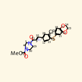 COC(=O)N1CCN(C(=O)/C=C/c2ccc(Sc3ccc4c(c3)OCCO4)c(C(F)(F)F)c2)CC1